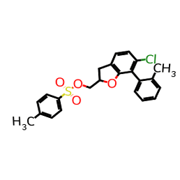 Cc1ccc(S(=O)(=O)OCC2Cc3ccc(Cl)c(-c4ccccc4C)c3O2)cc1